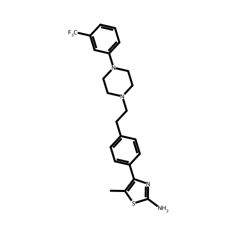 Cc1sc(N)nc1-c1ccc(CCN2CCN(c3cccc(C(F)(F)F)c3)CC2)cc1